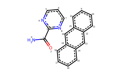 NC(=O)c1ncccn1.c1ccc2cc3ccccc3cc2c1